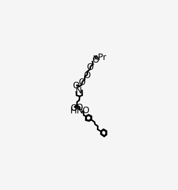 CCCOCCOCCOCCOCC(=O)N1CCC(CCC(=O)ONC(=O)Cc2ccc(CCCCc3ccccc3)cc2)CC1